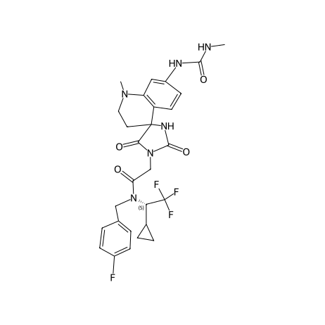 CNC(=O)Nc1ccc2c(c1)N(C)CCC21NC(=O)N(CC(=O)N(Cc2ccc(F)cc2)[C@@H](C2CC2)C(F)(F)F)C1=O